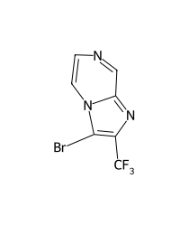 FC(F)(F)c1nc2cnccn2c1Br